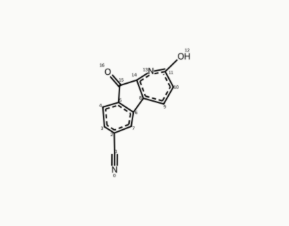 N#Cc1ccc2c(c1)-c1ccc(O)nc1C2=O